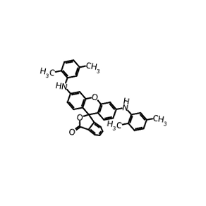 Cc1ccc(C)c(Nc2ccc3c(c2)Oc2cc(Nc4cc(C)ccc4C)ccc2C32OC(=O)c3ccccc32)c1